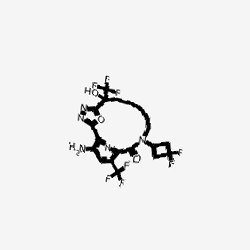 Nc1cc(C(F)(F)F)c2nc1-c1nnc(o1)C(O)(C(F)(F)F)CCCCCN(C1CC(F)(F)C1)C2=O